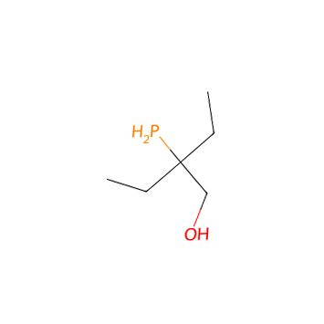 CCC(P)(CC)CO